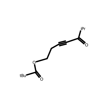 CC(C)C(=O)C#CCCOC(=O)C(C)(C)C